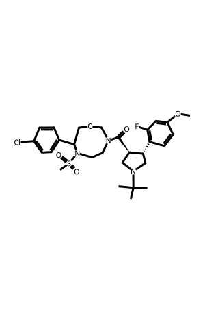 COc1ccc([C@@H]2CN(C(C)(C)C)C[C@H]2C(=O)N2CCCC(c3ccc(Cl)cc3)N(S(C)(=O)=O)CC2)c(F)c1